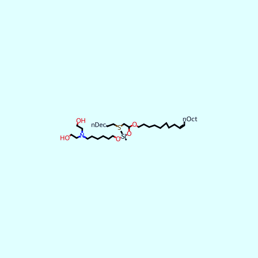 CCCCCCCC/C=C\CCCCCCCCOC(CSCCCCCCCCCCCC)O[Si](C)(C)OCCCCCCN(CCO)CCO